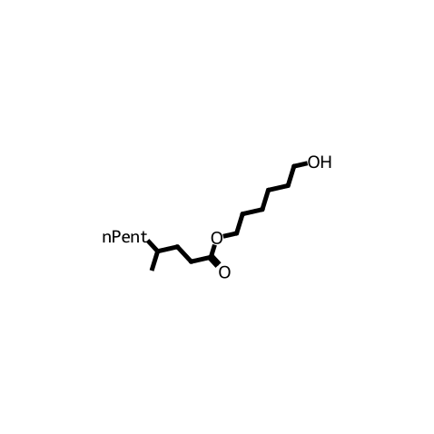 CCCCCC(C)CCC(=O)OCCCCCCO